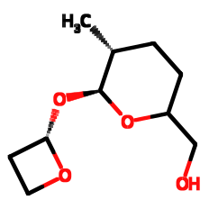 C[C@@H]1CCC(CO)O[C@H]1O[C@H]1CCO1